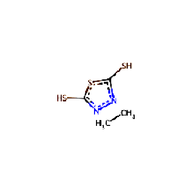 CC.Sc1nnc(S)s1